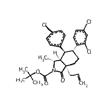 C=CC[C@@]12CC[C@@H](c3ccc(Cl)cc3Cl)[C@H](c3ccc(Cl)cc3)[C@@H]1[C@@H](C)N(C(=O)OC(C)(C)C)C2=O